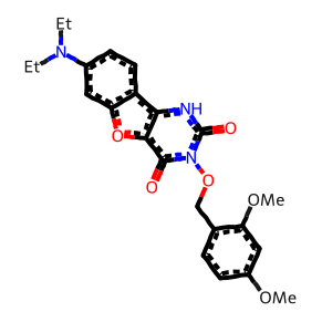 CCN(CC)c1ccc2c(c1)oc1c(=O)n(OCc3ccc(OC)cc3OC)c(=O)[nH]c12